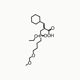 CCOP(=O)(CCCCOCOC)CC(=CC1CCCCC1)C(=O)O